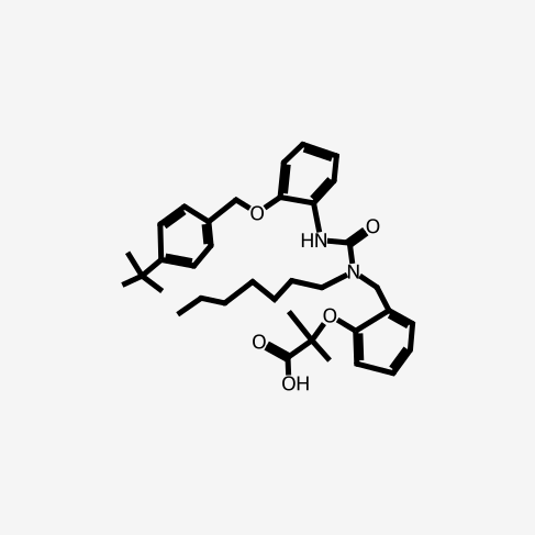 CCCCCCCN(Cc1ccccc1OC(C)(C)C(=O)O)C(=O)Nc1ccccc1OCc1ccc(C(C)(C)C)cc1